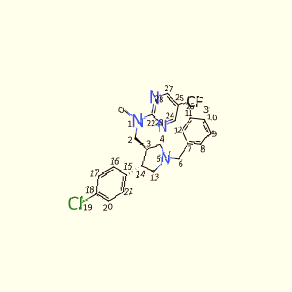 CN(C[C@H]1CN(Cc2ccccc2)C[C@@H]1c1ccc(Cl)cc1)c1ncc(C(F)(F)F)cn1